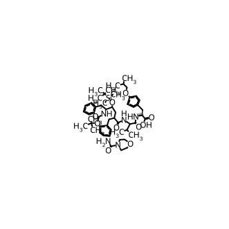 CC(C)COc1ccc(C[C@H](NC(=O)C(NC(=O)C(Cc2ccccc2)CC(O[Si](C)(C)C(C)(C)C)C(Cc2ccccc2)NC(=O)OC(C)(C)C)C(C)C)C(=O)O)cc1.NC(=O)N1CCOCC1